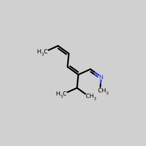 C\C=C/C=C(\C=N/C)C(C)C